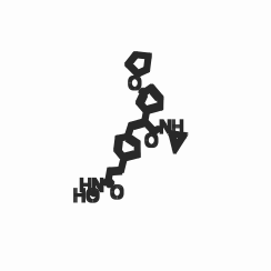 O=C(C=Cc1ccc(C=C(C(=O)NC2CC2)c2cccc(OC3CCCC3)c2)cc1)NO